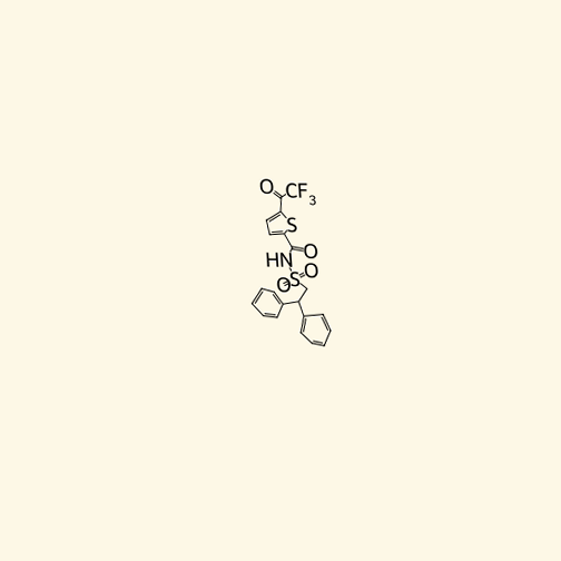 O=C(NS(=O)(=O)CC(c1ccccc1)c1ccccc1)c1ccc(C(=O)C(F)(F)F)s1